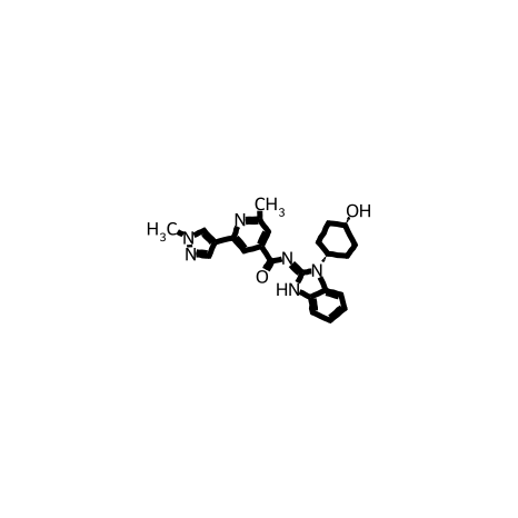 Cc1cc(C(=O)/N=c2\[nH]c3ccccc3n2[C@H]2CC[C@@H](O)CC2)cc(-c2cnn(C)c2)n1